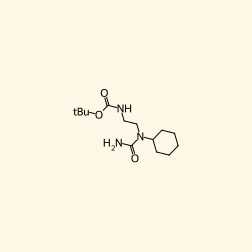 CC(C)(C)OC(=O)NCCN(C(N)=O)C1CCCCC1